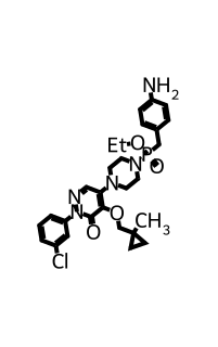 CCOP(=O)(Cc1ccc(N)cc1)N1CCN(c2cnn(-c3cccc(Cl)c3)c(=O)c2OCC2(C)CC2)CC1